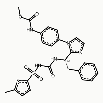 COC(=O)Nc1ccc(-n2ccnc2[C@H](Cc2ccccc2)NC(=O)NS(=O)(=O)c2ccc(C)s2)cc1